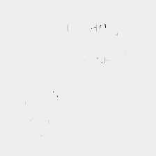 CC(C)CC(C)(NC(=O)c1ccc2c(C3CCCCC3)c3n(c2c1)CCOc1ccccc1-3)C(=O)O